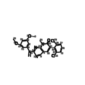 COc1cc(Nc2ncc3cc(-c4c(Cl)cccc4Cl)c(=O)n(C)c3n2)cc(OC)c1